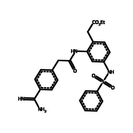 CCOC(=O)Cc1ccc(NS(=O)(=O)c2ccccc2)cc1NC(=O)Cc1ccc(C(=N)N)cc1